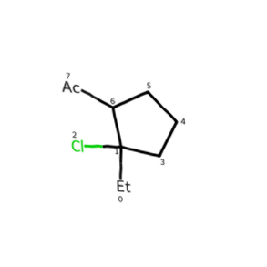 CCC1(Cl)CCCC1C(C)=O